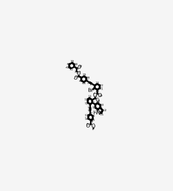 COC(=O)c1ccc(C#Cc2cccc(C(=O)OC(=O)c3cccc(C#Cc4ccc(C(=O)OCC(=O)c5ccccc5)cc4)c3Br)c2-c2ccc3cc[nH]c3c2)cc1